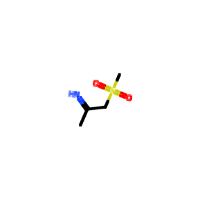 CC(=N)CS(C)(=O)=O